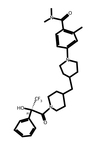 Cc1cc(N2CCC(CC3CCN(C(=O)[C@](O)(c4ccccc4)C(F)(F)F)CC3)CC2)ccc1C(=O)N(C)C